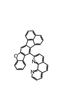 c1cc2c3c(cccc3c1)-c1c-2cc2oc3ccccc3c2c1-c1ccc2ccc3cccnc3c2n1